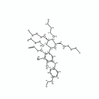 C=CCOc1c(C2O[C@H](COCCCC)[C@@H](OCCCC)[C@H](OCCCC)[C@H]2OCCCC)cc(Cc2ccc(OCC)cc2)c(Cl)c1Br